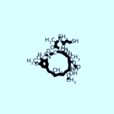 COc1cc2cc(c1Cl)N(C)C(=O)C[C@H](CC(=O)[C@H](C)N(C)C(=O)CCS)[C@]1(C)O[C@H]1[C@H](C)[C@@H]1C[C@@](O)(NC(=O)O1)[C@H](OC)/C=C/C=C(\C)C2